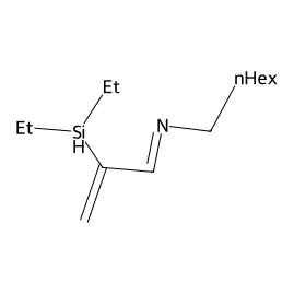 C=C(C=NCCCCCCC)[SiH](CC)CC